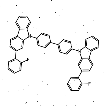 Fc1ccccc1-c1ccc2c3ccccc3n(-c3ccc(-c4ccc(-n5c6ccccc6c6ccc(-c7ccccc7F)cc65)cc4)cc3)c2c1